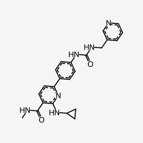 CNC(=O)c1ccc(-c2ccc(NC(=O)NCc3cccnc3)cc2)nc1NC1CC1